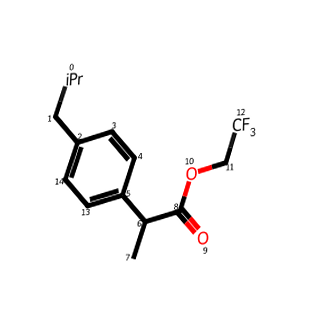 CC(C)Cc1ccc(C(C)C(=O)OCC(F)(F)F)cc1